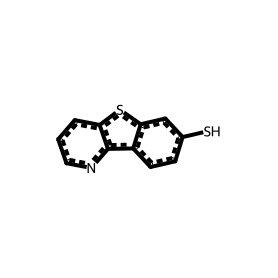 Sc1ccc2c(c1)sc1cccnc12